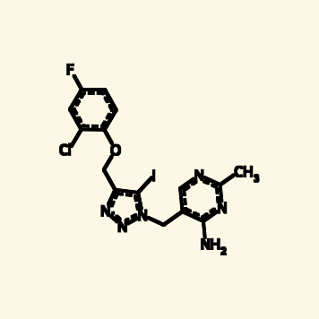 Cc1ncc(Cn2nnc(COc3ccc(F)cc3Cl)c2I)c(N)n1